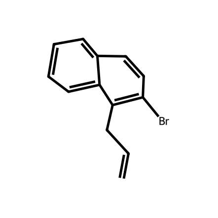 C=CCc1c(Br)ccc2ccccc12